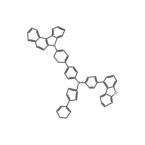 C1=CC(c2ccc(N(c3ccc(C4=CC=C(n5c6ccccc6c6c7ccccc7ccc65)CC4)cc3)c3ccc(-c4cccc5oc6ccccc6c45)cc3)cc2)=CCC1